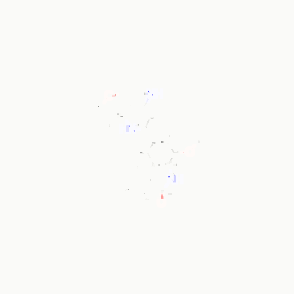 COc1cc(/C(=C/C=N)NC2CCOCC2)cc2c1NC(=O)C21CCC1